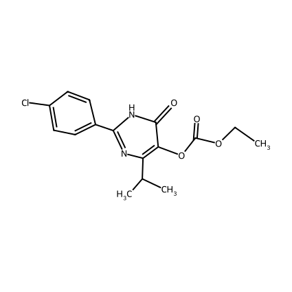 CCOC(=O)Oc1c(C(C)C)nc(-c2ccc(Cl)cc2)[nH]c1=O